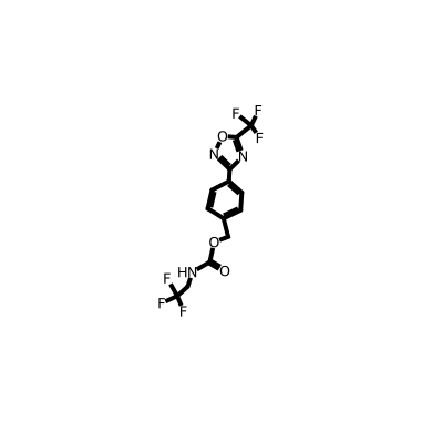 O=C(NCC(F)(F)F)OCc1ccc(-c2noc(C(F)(F)F)n2)cc1